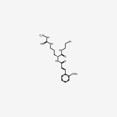 COc1ccccc1/C=C/C(=O)N[C@@H](CCCNC(=N)N[N+](=O)[O-])C(=O)NCCC(C)C